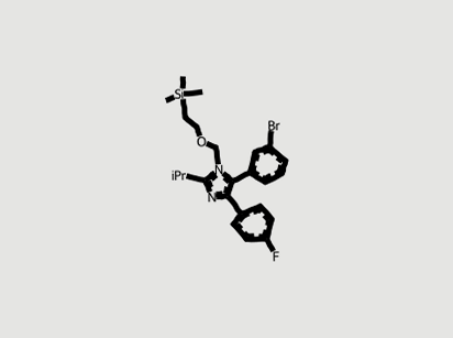 CC(C)c1nc(-c2ccc(F)cc2)c(-c2cccc(Br)c2)n1COCC[Si](C)(C)C